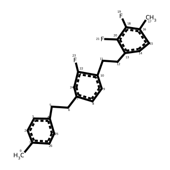 Cc1ccc(CCc2ccc(CCc3ccc(C)c(F)c3F)c(F)c2)cc1